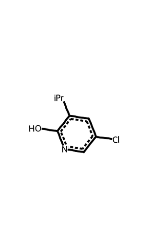 CC(C)c1cc(Cl)cnc1O